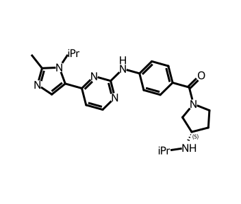 Cc1ncc(-c2ccnc(Nc3ccc(C(=O)N4CC[C@H](NC(C)C)C4)cc3)n2)n1C(C)C